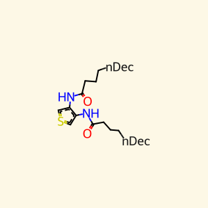 CCCCCCCCCCCCCC(=O)Nc1cscc1NC(=O)CCCCCCCCCCCCC